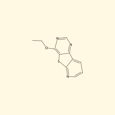 CCOc1ncnc2c1sc1ncccc12